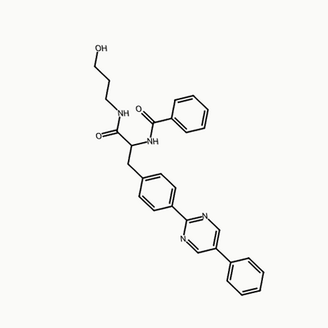 O=C(NC(Cc1ccc(-c2ncc(-c3ccccc3)cn2)cc1)C(=O)NCCCO)c1ccccc1